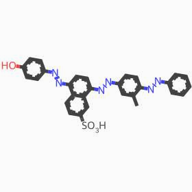 Cc1cc(N=Nc2ccc(N=Nc3ccc(O)cc3)c3ccc(S(=O)(=O)O)cc23)ccc1N=Nc1ccccc1